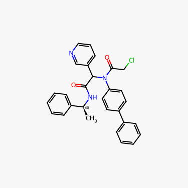 C[C@H](NC(=O)C(c1cccnc1)N(C(=O)CCl)c1ccc(-c2ccccc2)cc1)c1ccccc1